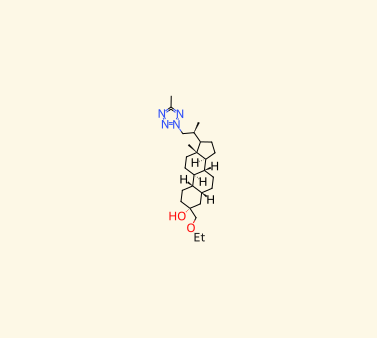 CCOC[C@@]1(O)CC[C@H]2[C@H](CC[C@@H]3[C@@H]2CC[C@]2(C)C([C@H](C)Cn4nnc(C)n4)CC[C@@H]32)C1